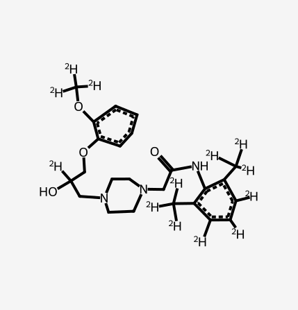 [2H]c1c([2H])c(C([2H])([2H])[2H])c(NC(=O)CN2CCN(CC([2H])(O)COc3ccccc3OC([2H])([2H])[2H])CC2)c(C([2H])([2H])[2H])c1[2H]